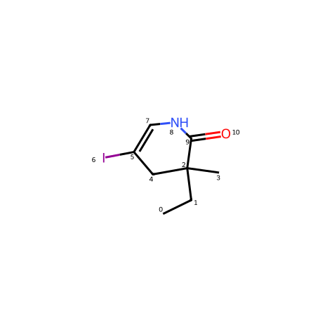 CCC1(C)CC(I)=CNC1=O